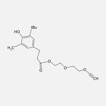 C#COCCOCCOC(=O)CCc1cc(C)c(O)c(C(C)(C)C)c1